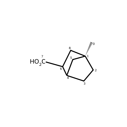 C[C@]12CCC(C1)C(C(=O)O)C2